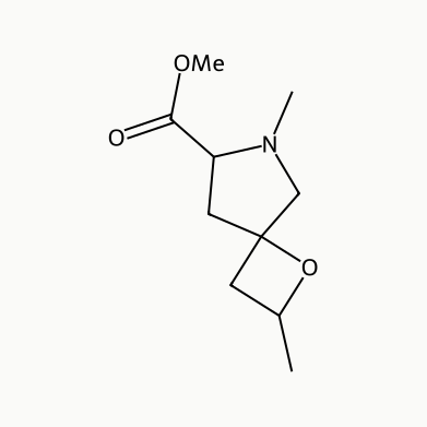 COC(=O)C1CC2(CC(C)O2)CN1C